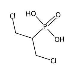 O=P(O)(O)C(CCl)CCl